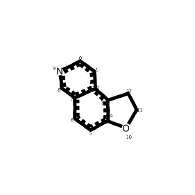 c1cc2c3c(ccc2cn1)OCC3